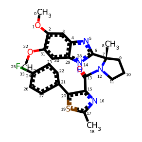 COc1cc2nc([C@]3(C)CCCN3C(=O)c3nc(C)sc3-c3ccc(F)cc3)[nH]c2cc1OC